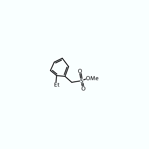 CCc1ccccc1CS(=O)(=O)OC